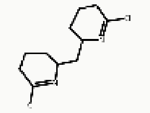 ClC1=NC(CC2CCCC(Cl)=N2)CCC1